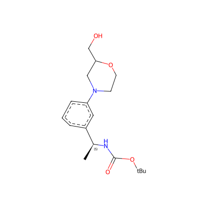 C[C@H](NC(=O)OC(C)(C)C)c1cccc(N2CCOC(CO)C2)c1